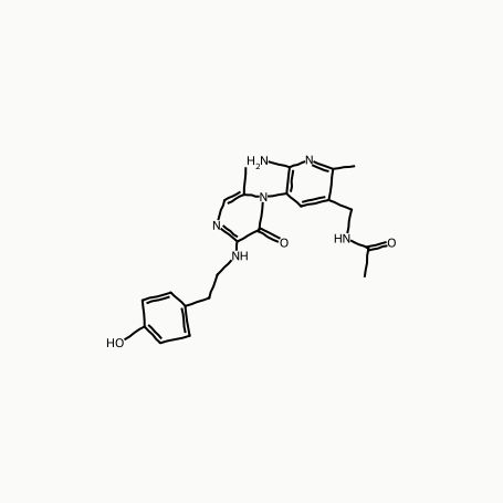 CC(=O)NCc1cc(-n2c(C)cnc(NCCc3ccc(O)cc3)c2=O)c(N)nc1C